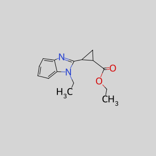 CCOC(=O)C1CC1c1nc2ccccc2n1CC